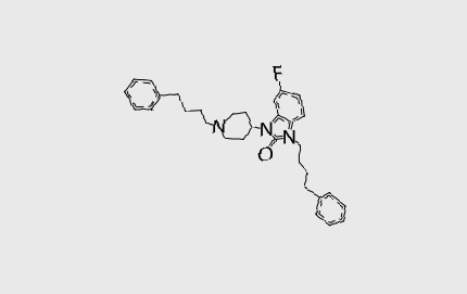 O=c1n(CCCCc2ccccc2)c2ccc(F)cc2n1C1CCN(CCCCc2ccccc2)CC1